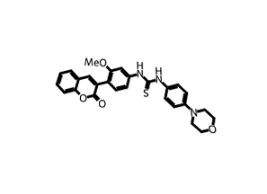 COc1cc(NC(=S)Nc2ccc(N3CCOCC3)cc2)ccc1-c1cc2ccccc2oc1=O